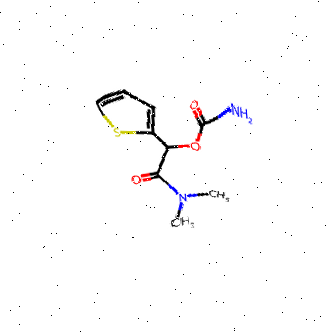 CN(C)C(=O)C(OC(N)=O)c1cccs1